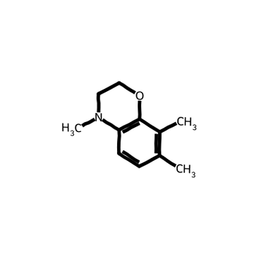 Cc1ccc2c(c1C)OCCN2C